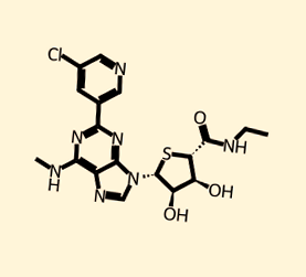 CCNC(=O)[C@H]1S[C@@H](n2cnc3c(NC)nc(-c4cncc(Cl)c4)nc32)[C@H](O)[C@@H]1O